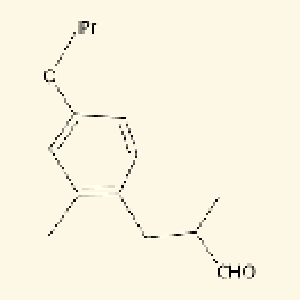 Cc1cc(OC(C)C)ccc1CC(C)C=O